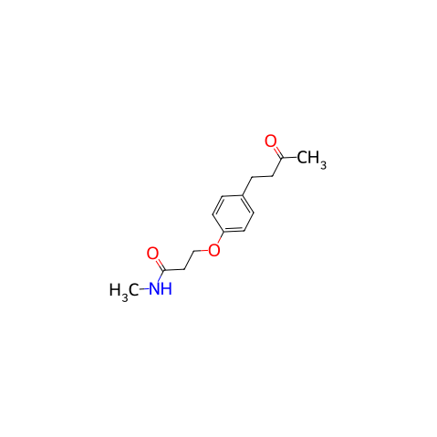 CNC(=O)CCOc1ccc(CCC(C)=O)cc1